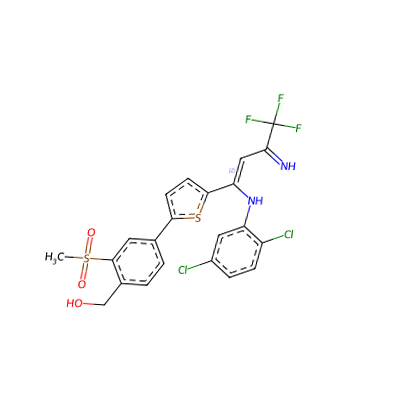 CS(=O)(=O)c1cc(-c2ccc(/C(=C/C(=N)C(F)(F)F)Nc3cc(Cl)ccc3Cl)s2)ccc1CO